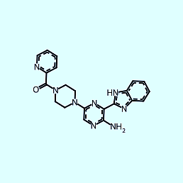 Nc1ncc(N2CCN(C(=O)c3ccccn3)CC2)nc1-c1nc2ccccc2[nH]1